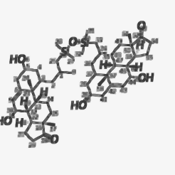 CC(CC1CC(O)CC2=CC(O)[C@@H]3[C@@H](CC[C@]4(C)C(=O)CC[C@@H]34)[C@]21C)C[Si](C)(C)O[Si](C)(C)CC(C)CC1CC(O)CC2=CC(O)[C@@H]3[C@@H](CC[C@]4(C)C(=O)CC[C@@H]34)[C@]21C